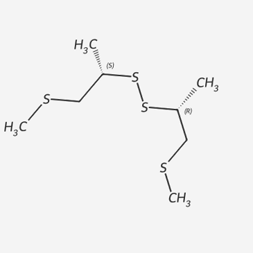 CSC[C@@H](C)SS[C@@H](C)CSC